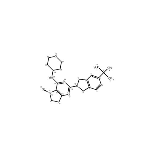 CC(C)(O)c1ccc2c(c1)CN(c1nc3c(c(NC4CCOCC4)n1)[S@+]([O-])CC3)C2